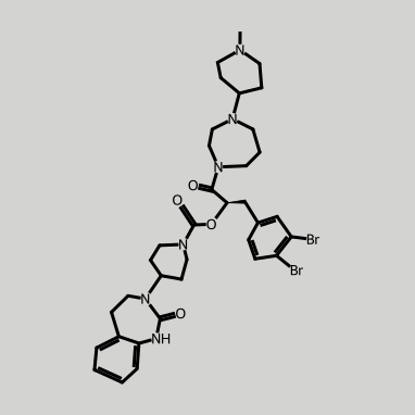 CN1CCC(N2CCCN(C(=O)[C@@H](Cc3ccc(Br)c(Br)c3)OC(=O)N3CCC(N4CCc5ccccc5NC4=O)CC3)CC2)CC1